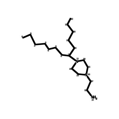 CCCCCCCC(CCCCC)N1CCN(CCN)CC1